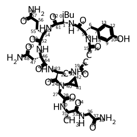 CC[C@H](C)[C@@H]1NC(=O)[C@H](Cc2ccc(O)cc2)NC(=O)CCC(=O)NC[C@@H](C(=O)N(CC(=O)N[C@@H](C)C(=O)NCC(N)=O)C2CC2)NC(=O)[C@H](CC(N)=O)NC(=O)[C@H](CCC(N)=O)NC1=O